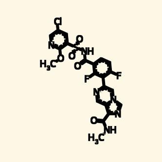 CNC(=O)c1ncn2cc(-c3c(F)ccc(C(=O)NS(=O)(=O)c4cc(Cl)cnc4OC)c3F)ncc12